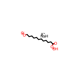 O=C(CCCCCCCCCCCO[O-])OO.[K+].[NaH]